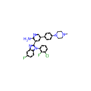 CN1CCN(c2ccc(-c3cnc(N)c(-c4nc5cc(F)ccc5n4-c4cccc(Cl)c4F)c3)cc2)CC1